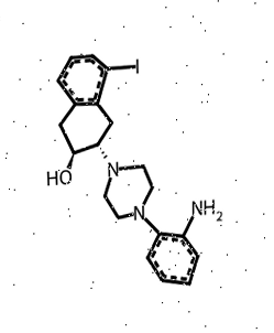 Nc1ccccc1N1CCN([C@H]2Cc3c(I)cccc3C[C@@H]2O)CC1